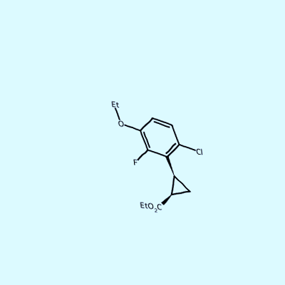 CCOC(=O)[C@@H]1C[C@@H]1c1c(Cl)ccc(OCC)c1F